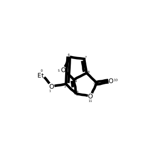 CCOc1c2c3oc1cc3C(=O)O2